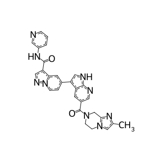 Cc1cn2c(n1)CN(C(=O)c1cnc3[nH]cc(-c4ccn5ncc(C(=O)Nc6cccnc6)c5c4)c3c1)CC2